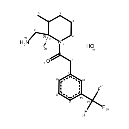 CC1CCCN(C(=O)Cc2cccc(C(F)(F)F)c2)[C@@]1(C)CN.Cl